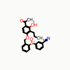 CCCc1c(OCc2ccccc2[S+]([O-])c2cccc(C#N)c2)ccc(C(C)=O)c1O